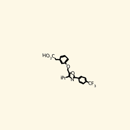 CC(C)c1nc(-c2ccc(C(F)(F)F)cc2)oc1COc1cccc(CC(=O)O)c1